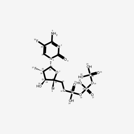 Nc1nc(=O)n([C@@H]2O[C@](Br)(COP(=O)(O)OP(=O)(O)OP(=O)(O)O)[C@@H](O)[C@@H]2F)cc1F